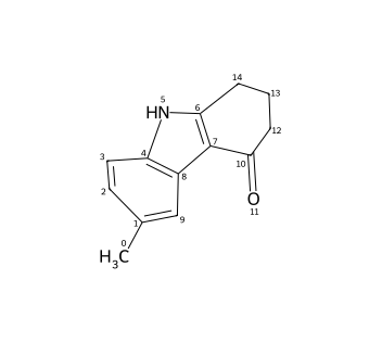 Cc1ccc2[nH]c3c(c2c1)C(=O)CCC3